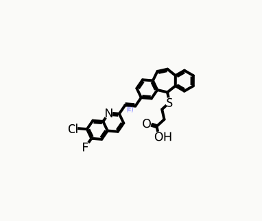 O=C(O)CCSC1c2ccccc2C=Cc2ccc(/C=C/c3ccc4cc(F)c(Cl)cc4n3)cc21